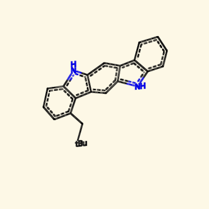 CC(C)(C)Cc1cccc2[nH]c3cc4c(cc3c12)[nH]c1ccccc14